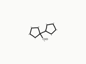 O=[C]C1(C2CCCC2)CCCC1